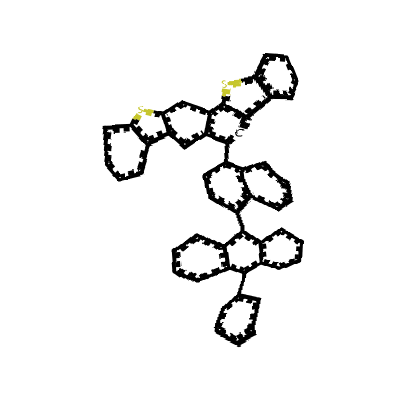 c1ccc(-c2c3ccccc3c(-c3ccc(-c4cc5c6ccccc6sc5c5cc6sc7ccccc7c6cc45)c4ccccc34)c3ccccc23)cc1